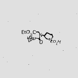 CCOC(=O)CN(C(=O)C(C)(C)C)C1CCCN(C(=O)O)C1